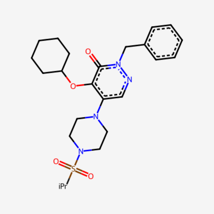 CC(C)S(=O)(=O)N1CCN(c2cnn(Cc3ccccc3)c(=O)c2OC2CCCCC2)CC1